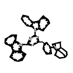 c1cc(-c2nc(-n3c4ccccc4c4ccccc43)nc(-n3c4ccccc4c4ccccc43)n2)cc(N2C3CCC4CC2CC4C3)c1